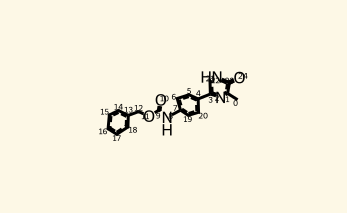 Cc1nc(-c2ccc(NC(=O)OCc3ccccc3)cc2)c[nH]c1=O